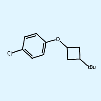 CC(C)(C)C1CC(Oc2ccc(Cl)cc2)C1